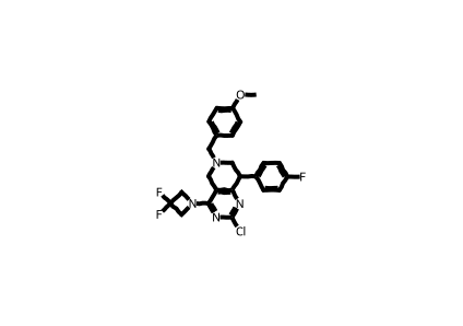 COc1ccc(CN2Cc3c(nc(Cl)nc3N3CC(F)(F)C3)C(c3ccc(F)cc3)C2)cc1